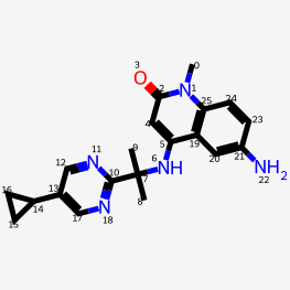 Cn1c(=O)cc(NC(C)(C)c2ncc(C3CC3)cn2)c2cc(N)ccc21